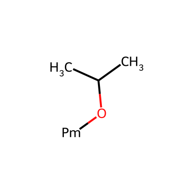 CC(C)[O][Pm]